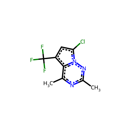 Cc1nc(C)c2c(C(F)(F)F)cc(Cl)n2n1